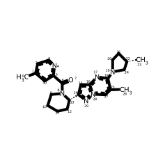 Cc1ccnc(C(=O)N2CCCC[C@H]2c2cc3nc(N4CC[C@H](C)C4)c(C)cn3n2)c1